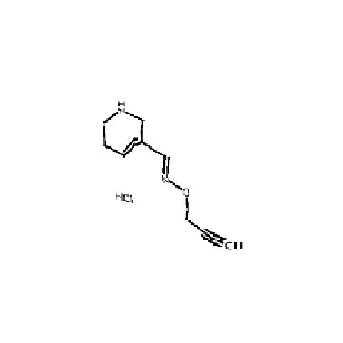 C#CCON=CC1=CCCNC1.Cl